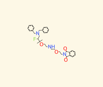 CC(C)(OCCNCCOCCN1C(=O)c2ccccc2C1=O)C(F)CN(Cc1ccccc1)Cc1ccccc1